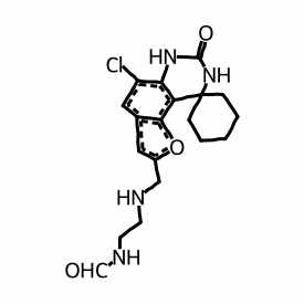 O=CNCCNCc1cc2cc(Cl)c3c(c2o1)C1(CCCCC1)NC(=O)N3